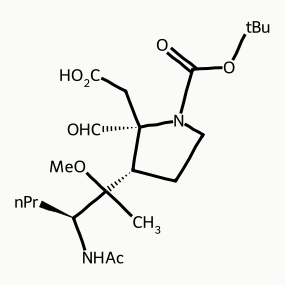 CCC[C@H](NC(C)=O)C(C)(OC)[C@H]1CCN(C(=O)OC(C)(C)C)[C@]1(C=O)CC(=O)O